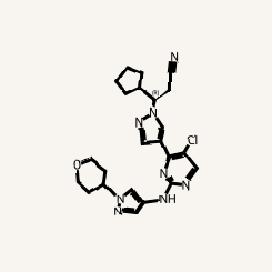 N#CC[C@H](C1CCCC1)n1cc(-c2nc(Nc3cnn(C4CCOCC4)c3)ncc2Cl)cn1